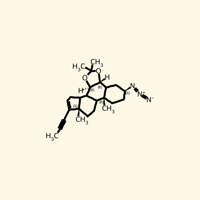 CC#CC1=CCC2C3C(CC[C@]12C)[C@@]1(C)CC[C@H](N=[N+]=[N-])CC1[C@H]1OC(C)(C)O[C@H]31